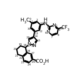 Cc1cc(Nc2nccc(C(F)(F)F)n2)cc(-c2cnn(C3CCCc4ccc(C(=O)O)cc43)c2)c1